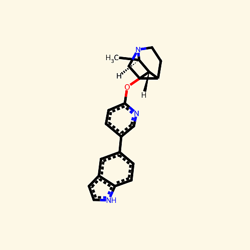 C[C@@H]1[C@@H](Oc2ccc(-c3ccc4[nH]ccc4c3)cn2)C2CCN1CC2